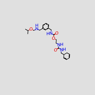 CC(C)OCNCc1cccc(CNC(=O)OCCNC(=O)NCC2C=CC=CC2)c1